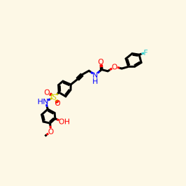 COc1ccc(NS(=O)(=O)c2ccc(C#CCNC(=O)COCc3ccc(F)cc3)cc2)cc1O